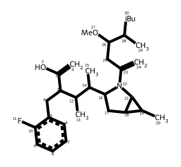 C=C(O)C(Cc1ccccc1F)C(C)C(C)C1CC2C(C)C2N1C(=C)CC(OC)C(C)C(C)CC